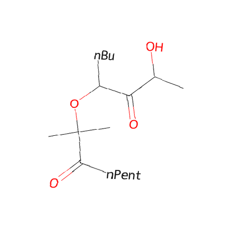 CCCCCC(=O)C(C)(C)OC(CCCC)C(=O)C(C)O